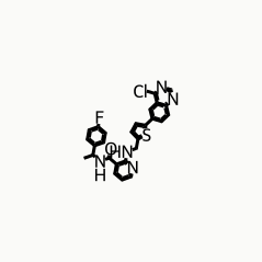 CC(NC(=O)c1cccnc1NCc1ccc(-c2ccc3ncnc(Cl)c3c2)s1)c1ccc(F)cc1